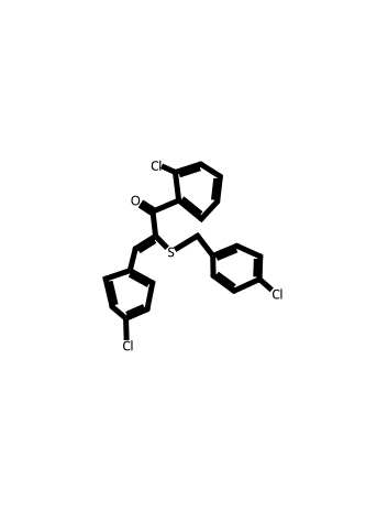 O=C(C(=Cc1ccc(Cl)cc1)SCc1ccc(Cl)cc1)c1ccccc1Cl